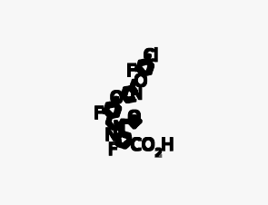 O=C(O)c1cc(F)c2nc(Cc3ccc(Oc4ccnc(COc5ccc(Cl)cc5F)c4)cc3F)n(CC3CCO3)c2c1